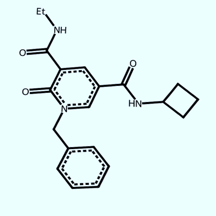 CCNC(=O)c1cc(C(=O)NC2CCC2)cn(Cc2ccccc2)c1=O